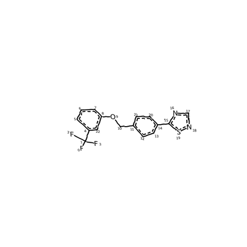 FC(F)(F)c1cccc(OCc2ccc(-c3ncns3)cc2)c1